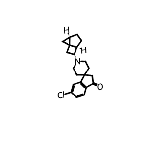 O=C1CC2(CCN([C@@H]3CC45C[C@H]4CC[C@@H]35)CC2)c2cc(Cl)ccc21